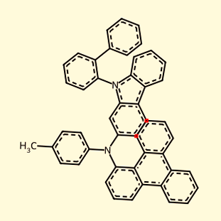 Cc1ccc(N(c2ccc3c4ccccc4n(-c4ccccc4-c4ccccc4)c3c2)c2cccc3c4ccccc4c4ccccc4c23)cc1